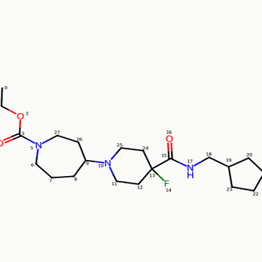 CCOC(=O)N1CCCC(N2CCC(F)(C(=O)NCC3CCCC3)CC2)CC1